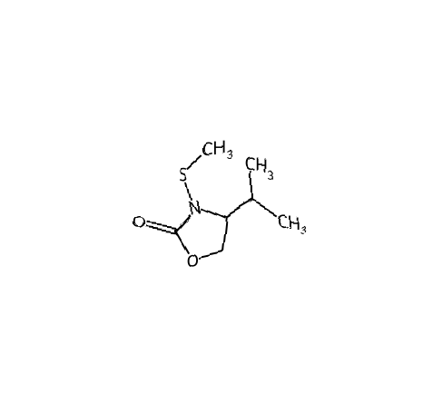 CSN1C(=O)OCC1C(C)C